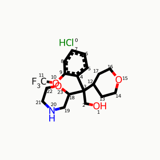 Cl.OCC(c1ccccc1OC(F)(F)F)(C1CCOCC1)C1CNCCO1